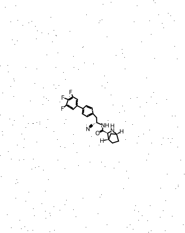 N#C[C@H](Cc1ccc(-c2cc(F)c(F)c(F)c2)cc1)NC(=O)[C@H]1N[C@@H]2CC[C@H]1C2